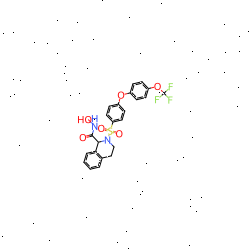 O=C(NO)C1c2ccccc2CCN1S(=O)(=O)c1ccc(Oc2ccc(OC(F)(F)F)cc2)cc1